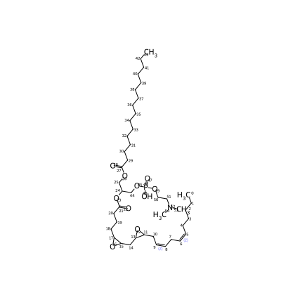 CCCCC/C=C\C/C=C\CC1OC1CC1OC1CCCC(=O)OC(COC(=O)CCCCCCCCCCCCCCC)COP(=O)(O)OCCN(C)C